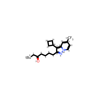 CC(C)(C)CC(=O)CCCCc1nn2ccc(C(F)(F)F)cc2c1C1CCC1